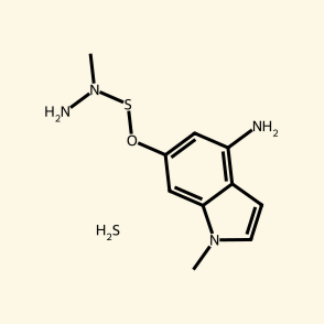 CN(N)SOc1cc(N)c2ccn(C)c2c1.S